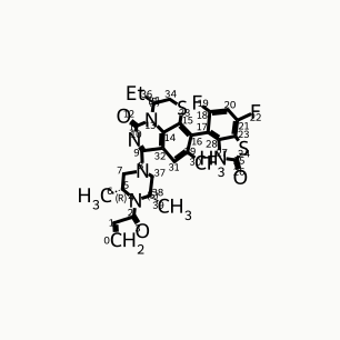 C=CC(=O)N1[C@H](C)CN(c2nc(=O)n3c4c(c(-c5c(F)cc(F)c6sc(=O)[nH]c56)c(C(F)(F)F)cc24)SC[C@@H]3CC)C[C@@H]1C